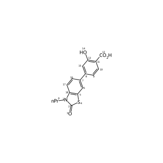 CCCn1c(=O)sc2cc(-c3ccc(C(=O)O)c(O)c3)ccc21